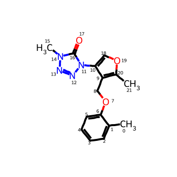 Cc1ccccc1OCc1c(-n2nnn(C)c2=O)coc1C